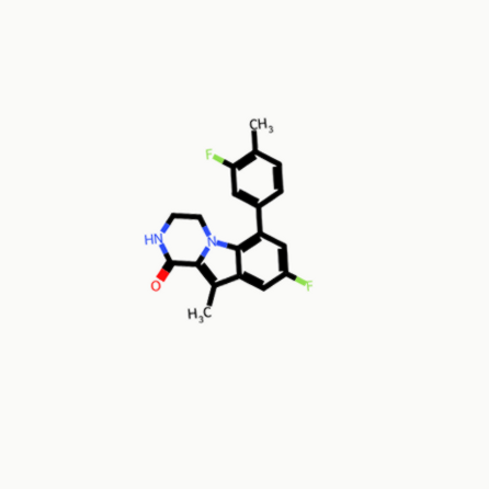 Cc1ccc(-c2cc(F)cc3c(C)c4n(c23)CCNC4=O)cc1F